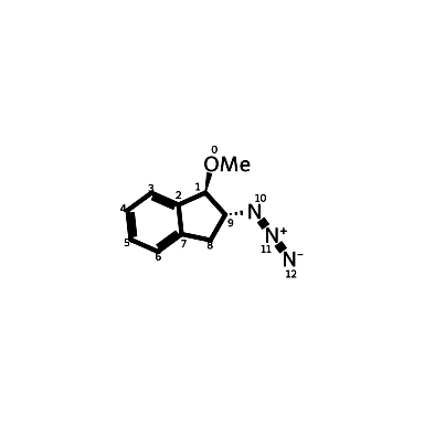 CO[C@@H]1c2ccccc2C[C@H]1N=[N+]=[N-]